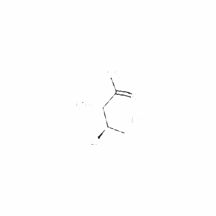 CC[C@H](C)[C@H](N)C(N)=O.Cl